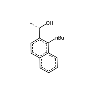 CCCCc1c([C@H](C)O)ccc2ccccc12